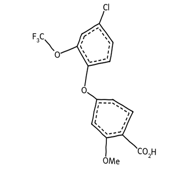 COc1cc(Oc2ccc(Cl)cc2OC(F)(F)F)ccc1C(=O)O